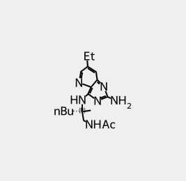 CCCC[C@](C)(CNC(C)=O)Nc1nc(N)nc2cc(CC)cnc12